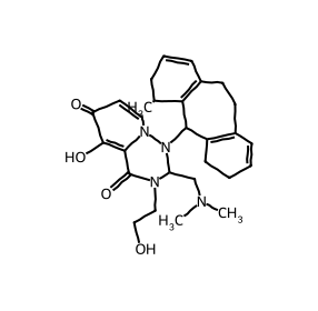 CC1CC=CC2=C1C(N1C(CN(C)C)N(CCO)C(=O)c3c(O)c(=O)ccn31)C1=C(C=CCC1)CC2